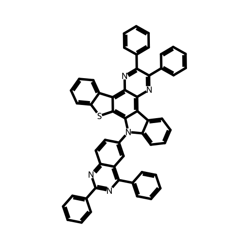 c1ccc(-c2nc(-c3ccccc3)c3cc(-n4c5ccccc5c5c6nc(-c7ccccc7)c(-c7ccccc7)nc6c6c7ccccc7sc6c54)ccc3n2)cc1